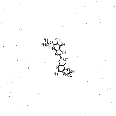 [2H]c1nc(C[S+]([O-])c2nc3nc(OC([2H])([2H])[2H])c([2H])c([2H])c3[nH]2)c(C)c(OC([2H])([2H])[2H])c1C